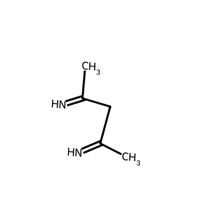 CC(=N)CC(C)=N